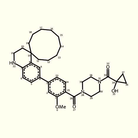 COc1cc(-c2ccc3c(c2)C2(CCCCCCCCC2)CCN3)ccc1C(=O)N1CCN(C(=O)C2(O)CC2)CC1